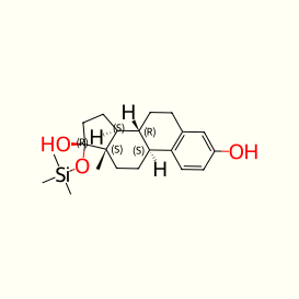 C[C@]12CC[C@@H]3c4ccc(O)cc4CC[C@H]3[C@@H]1CC[C@@]2(O)O[Si](C)(C)C